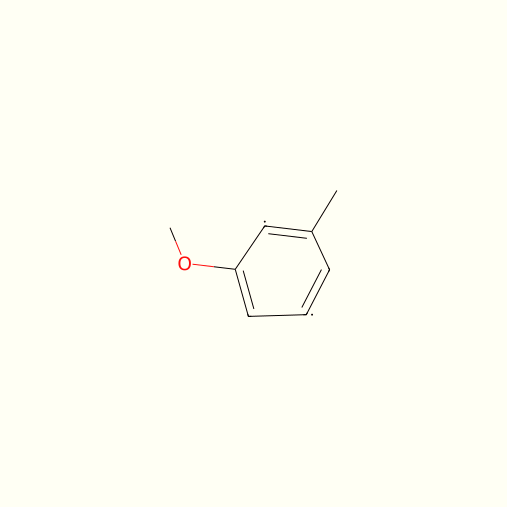 COc1[c]c(C)c[c]c1